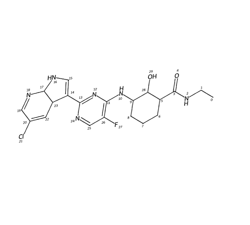 CCNC(=O)C1CCCC(Nc2nc(C3=CNC4N=CC(Cl)=CC34)ncc2F)C1O